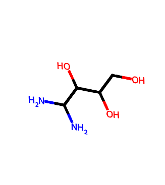 NC(N)C(O)C(O)CO